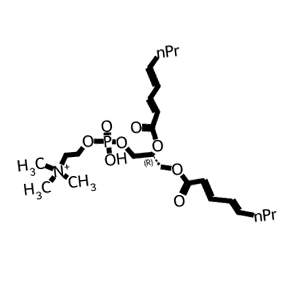 CCCC=CC=CC(=O)OC[C@H](COP(=O)(O)OCC[N+](C)(C)C)OC(=O)C=CC=CCCC